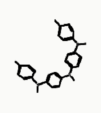 Cc1ccc(N(C)c2ccc(N(C)c3ccc(N(C)c4ccc(C)cc4)cc3)cc2)cc1